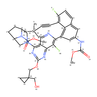 CC(C)[Si](C#Cc1c(F)ccc2cc(NC(=O)OC(C)(C)C)cc(-c3ncc4c(N5CC6CCC(C5)N6C(=O)OC(C)(C)C)nc(OCC5(CO)CC5)nc4c3F)c12)(C(C)C)C(C)C